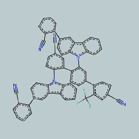 N#Cc1ccc(-n2c3ccccc3c3cc(-c4ccccc4C#N)ccc32)c(-c2ccc(-c3ccc(C#N)cc3C(F)(F)F)cc2-n2c3ccccc3c3cc(-c4ccccc4C#N)ccc32)c1